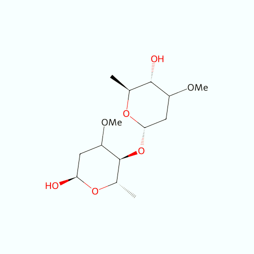 COC1C[C@H](O[C@@H]2C(OC)C[C@H](O)O[C@H]2C)O[C@@H](C)[C@@H]1O